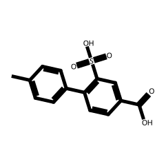 Cc1ccc(-c2ccc(C(=O)O)cc2S(=O)(=O)O)cc1